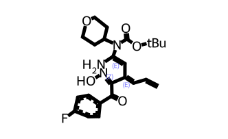 C=C/C=C(\C=C(/N)N(C(=O)OC(C)(C)C)C1CCOCC1)C(=N/O)/C(=O)c1ccc(F)cc1